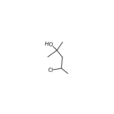 CC(Cl)CC(C)(C)O